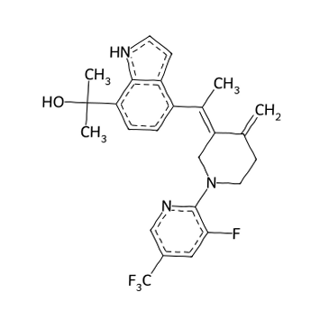 C=C1CCN(c2ncc(C(F)(F)F)cc2F)C/C1=C(/C)c1ccc(C(C)(C)O)c2[nH]ccc12